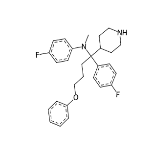 CN(c1ccc(F)cc1)C(CCCOc1ccccc1)(c1ccc(F)cc1)C1CCNCC1